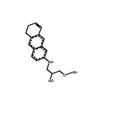 CCCCOCC(CNc1ccc2cc3c(cc2c1)C=CCC3)N=O